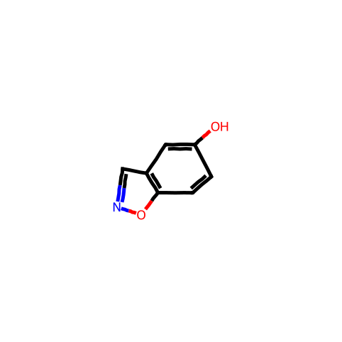 Oc1ccc2oncc2c1